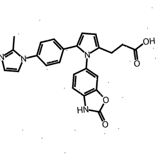 Cc1nccn1-c1ccc(-c2ccc(CCC(=O)O)n2-c2ccc3[nH]c(=O)oc3c2)cc1